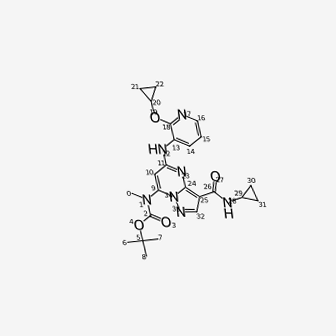 CN(C(=O)OC(C)(C)C)c1cc(Nc2cccnc2OC2CC2)nc2c(C(=O)NC3CC3)cnn12